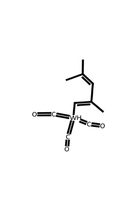 CC(C)=CC(C)=[CH][WH](=[C]=O)(=[C]=O)=[C]=O